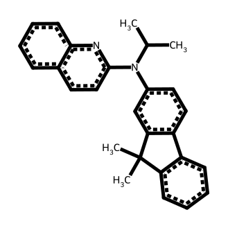 CC(C)N(c1ccc2c(c1)C(C)(C)c1ccccc1-2)c1ccc2ccccc2n1